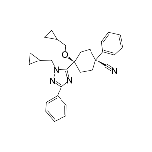 N#C[C@]1(c2ccccc2)CC[C@@](OCC2CC2)(c2nc(-c3ccccc3)nn2CC2CC2)CC1